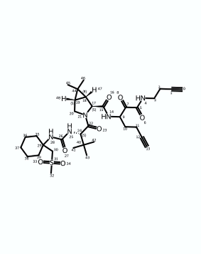 C#CCCNC(=O)C(=O)C(CCC#C)NC(=O)[C@@H]1[C@@H]2[C@H](CN1C(=O)[C@@H](NC(=O)NC1(CS(C)(=O)=O)CCCCC1)C(C)(C)C)C2(C)C